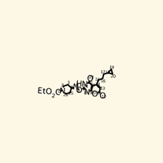 CCOC(=O)N1CCC(=NOc2nc3oc(=O)cc(CCCC4CC4)c3c(=O)[nH]2)CC1